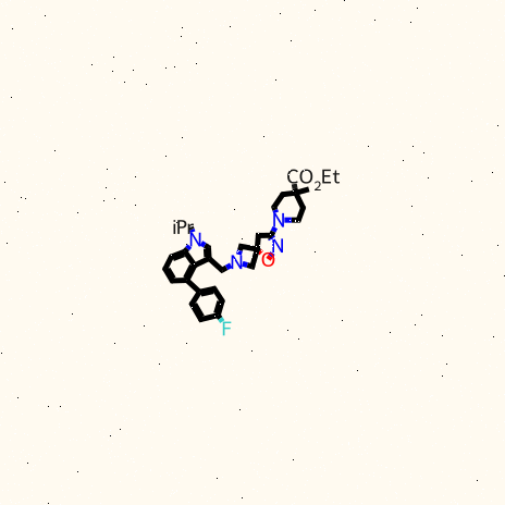 CCOC(=O)C1(C)CCN(C2=NOC3(C2)CN(Cc2cn(C(C)C)c4cccc(-c5ccc(F)cc5)c24)C3)CC1